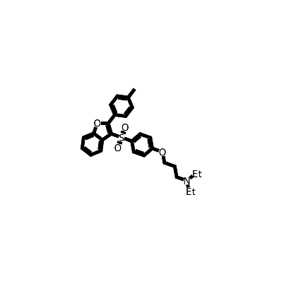 CCN(CC)CCCOc1ccc(S(=O)(=O)c2c(-c3ccc(C)cc3)oc3ccccc23)cc1